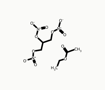 CCOC(C)=O.O=[N+]([O-])OCC(CO[N+](=O)[O-])O[N+](=O)[O-]